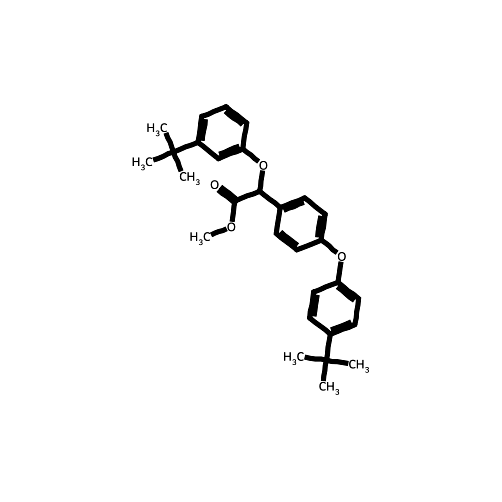 COC(=O)C(Oc1cccc(C(C)(C)C)c1)c1ccc(Oc2ccc(C(C)(C)C)cc2)cc1